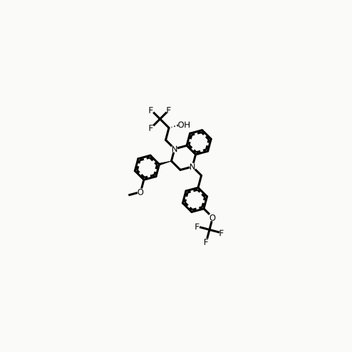 COc1cccc([C@@H]2CN(Cc3cccc(OC(F)(F)F)c3)c3ccccc3N2C[C@@H](O)C(F)(F)F)c1